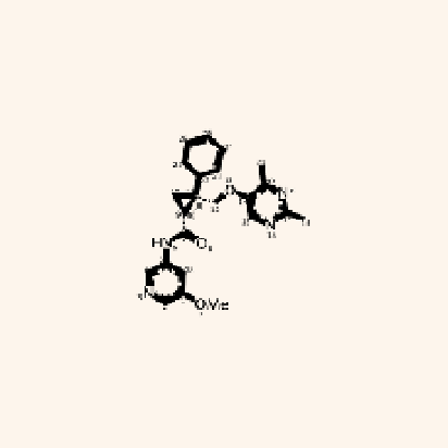 COc1cncc(NC(=O)[C@@H]2C[C@@]2(COc2cnc(C)nc2C)C2C=CC=CC2)c1